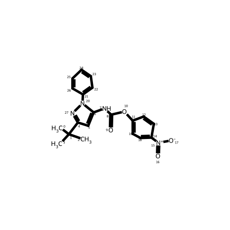 CC(C)(C)c1cc(NC(=O)Oc2ccc([N+](=O)[O-])cc2)n(-c2ccccc2)n1